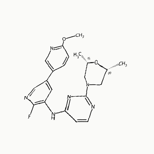 COc1ccc(-c2cnc(F)c(Nc3ccnc(N4C[C@@H](C)O[C@@H](C)C4)n3)c2)cn1